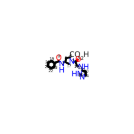 O=C(NC1CC(C(=O)O)N(C(=O)CNc2ccn[nH]2)C1)c1ccccc1